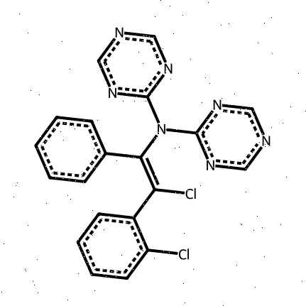 ClC(=C(c1ccccc1)N(c1ncncn1)c1ncncn1)c1ccccc1Cl